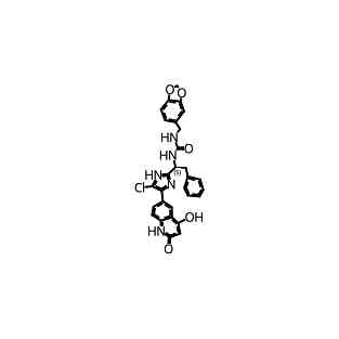 O=C(NCc1ccc2c(c1)OCO2)N[C@@H](Cc1ccccc1)c1nc(-c2ccc3[nH]c(=O)cc(O)c3c2)c(Cl)[nH]1